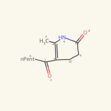 CCCCCC(=O)C1=C(C)NC(=O)CC1